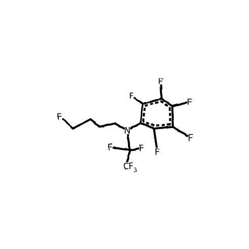 FCCCCN(c1c(F)c(F)c(F)c(F)c1F)C(F)(F)C(F)(F)F